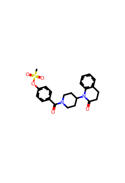 CS(=O)(=O)Oc1ccc(C(=O)N2CCC(N3C(=O)CCc4ccccc43)CC2)cc1